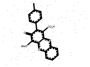 COc1c2oc3ccccc3nc-2c(C(=O)O)c(-c2ccc(C)cc2)c1=O